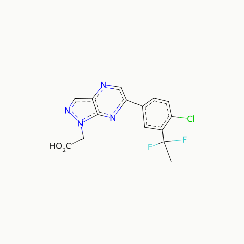 CC(F)(F)c1cc(-c2cnc3cnn(CC(=O)O)c3n2)ccc1Cl